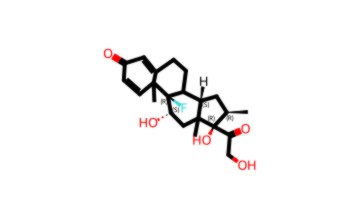 C[C@@H]1C[C@H]2C3CCC4=CC(=O)C=CC4(C)[C@@]3(F)[C@@H](O)CC2(C)[C@@]1(O)C(=O)CO